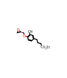 CCOC(=O)CCCc1ccc(OC[C@H]2CO2)c(C#N)c1